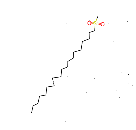 [CH2]CCCCCCCCCCCCCCCCCCS(C)(=O)=O